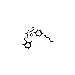 CCCCOc1ccc(S(=O)(=O)NC(C)COc2c(C)cccc2C)cc1